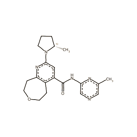 Cc1cncc(NC(=O)c2cc(N3CCC[C@@H]3C)nc3c2CCOCC3)n1